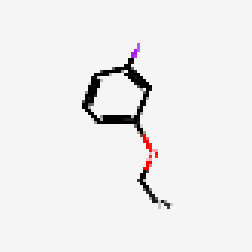 CC(C)COc1c[c]cc(I)c1